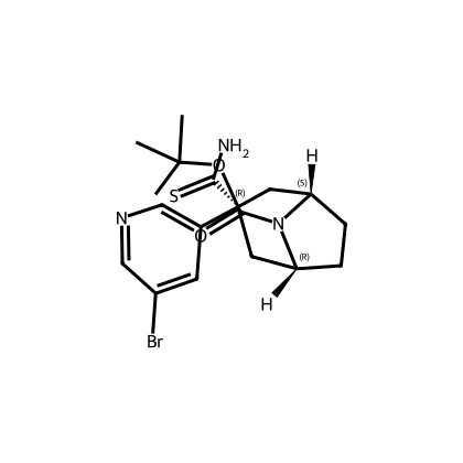 CC(C)(C)OC(=O)N1[C@@H]2CC[C@H]1C[C@](C(N)=S)(c1cncc(Br)c1)C2